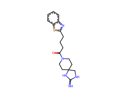 N=C1NCC2(CCN(C(=O)CCCc3nc4ccccc4s3)CC2)N1